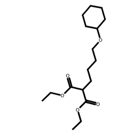 CCOC(=O)C(CCCCOC1CCCCC1)C(=O)OCC